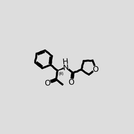 CC(=O)[C@H](NC(=O)C1CCOC1)c1ccccc1